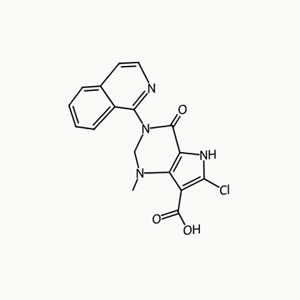 CN1CN(c2nccc3ccccc23)C(=O)c2[nH]c(Cl)c(C(=O)O)c21